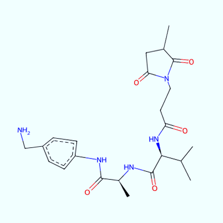 CC1CC(=O)N(CCC(=O)N[C@H](C(=O)N[C@@H](C)C(=O)Nc2ccc(CN)cc2)C(C)C)C1=O